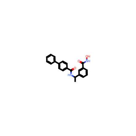 CC(NC(=O)c1ccc(-c2ccccc2)cc1)c1cccc(C(=O)NO)c1